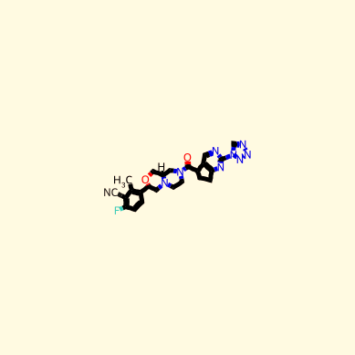 Cc1c(C2CN3CCN(C(=O)C4CCc5nc(-n6cnnn6)ncc54)C[C@H]3CO2)ccc(F)c1C#N